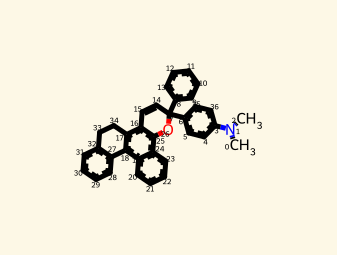 CN(C)c1ccc(C2(c3ccccc3)C=Cc3c4c(c5ccccc5c3O2)-c2ccccc2CC4)cc1